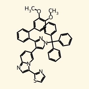 COc1ccc(-c2ccccc2-c2nn(C(c3ccccc3)(c3ccccc3)c3ccccc3)cc2-c2ccc3ncc(-c4nccs4)n3c2)cc1OC